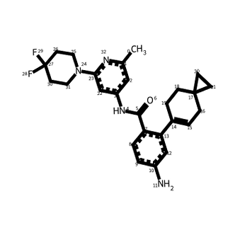 Cc1cc(NC(=O)c2ccc(N)cc2C2=CCC3(CC2)CC3)cc(N2CCC(F)(F)CC2)n1